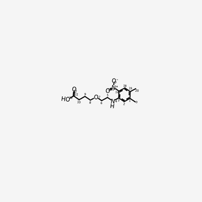 Cc1cc(NCCOCCCC(=O)O)c([N+](=O)[O-])cc1C